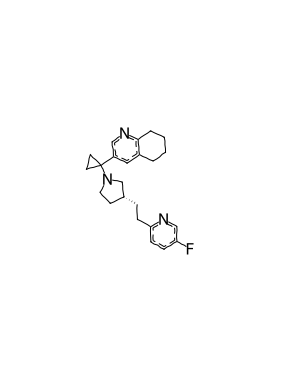 Fc1ccc(CC[C@@H]2CCN(C3(c4cnc5c(c4)CCCC5)CC3)C2)nc1